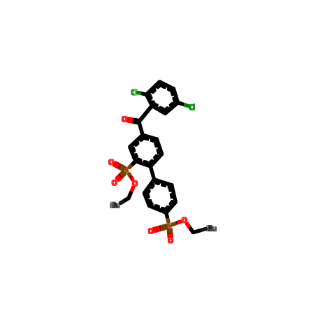 CCC(C)COS(=O)(=O)c1ccc(-c2ccc(C(=O)c3cc(Cl)ccc3Cl)cc2S(=O)(=O)OCC(C)CC)cc1